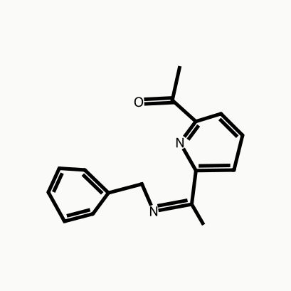 CC(=O)c1cccc(/C(C)=N\Cc2ccccc2)n1